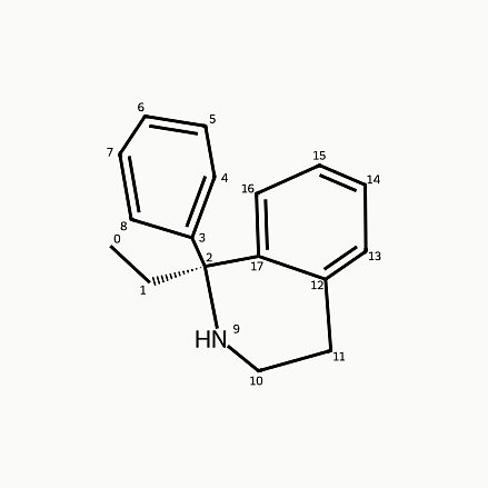 CC[C@@]1(c2ccccc2)NCCc2ccccc21